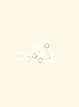 COc1ccccc1C(C)CC(C)CNc1cc(-c2ccnc(NCCO)c2)ncn1